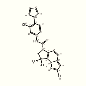 CC1(C)C[C@H](C(=O)Nc2cnc(-n3nccn3)c(Cl)c2)c2cnc3cc(Cl)nn3c21